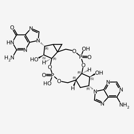 Nc1nc2c(ncn2[C@@H]2C3CC34COP(=O)(O)O[C@@H]3[C@@H](COP(=O)(O)O[C@H]4[C@H]2O)C[C@@H](n2cnc4c(N)ncnc42)[C@@H]3O)c(=O)[nH]1